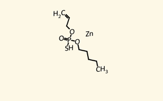 C=CCOP(=O)(S)OCCCCC.[Zn]